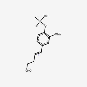 COc1cc(/C=C/CCC=O)ccc1O[Si](C)(C)C(C)(C)C